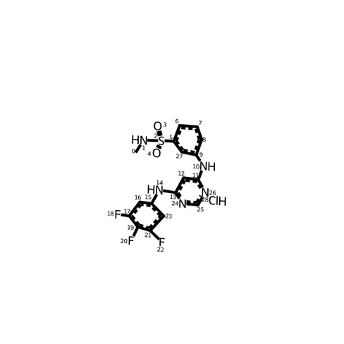 CNS(=O)(=O)c1cccc(Nc2cc(Nc3cc(F)c(F)c(F)c3)ncn2)c1.Cl